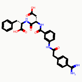 N=C(N)c1ccc(CC(=O)Nc2cccc(C(=O)N[C@@H](CC(=O)O)C(=O)N[C@@H](Cc3ccccc3)C(=O)O)c2)cc1